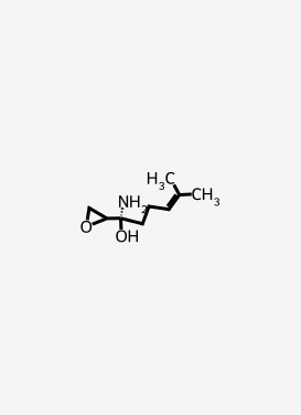 CC(C)=CCC[C@@](N)(O)C1CO1